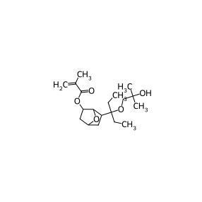 C=C(C)C(=O)OC1CC2CC(C(CC)(CC)OCC(C)(C)O)C1O2